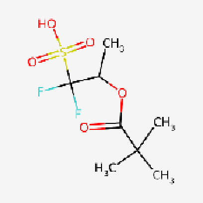 CC(OC(=O)C(C)(C)C)C(F)(F)S(=O)(=O)O